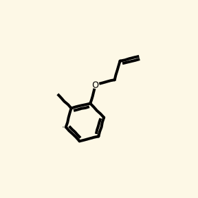 C=CCOc1ccc[c]c1C